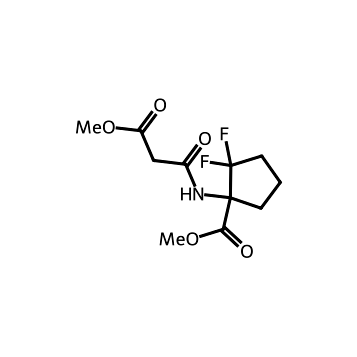 COC(=O)CC(=O)NC1(C(=O)OC)CCCC1(F)F